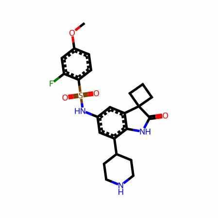 COc1ccc(S(=O)(=O)Nc2cc(C3CCNCC3)c3c(c2)C2(CCC2)C(=O)N3)c(F)c1